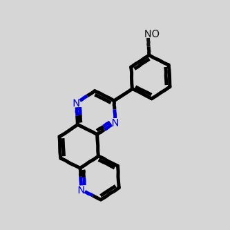 O=Nc1cccc(-c2cnc3ccc4ncccc4c3n2)c1